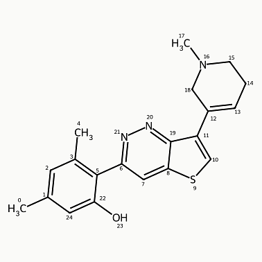 Cc1cc(C)c(-c2cc3scc(C4=CCCN(C)C4)c3nn2)c(O)c1